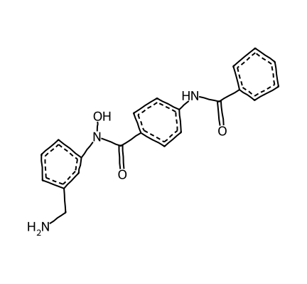 NCc1cccc(N(O)C(=O)c2ccc(NC(=O)c3ccccc3)cc2)c1